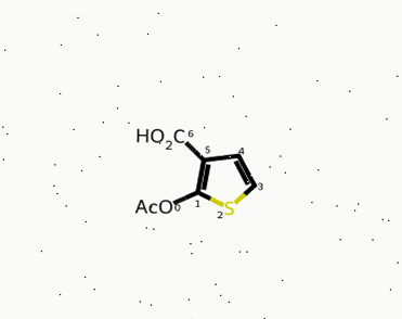 CC(=O)Oc1sccc1C(=O)O